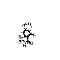 COc1cc(F)c2c(c1)S(=O)(=O)NC2=O